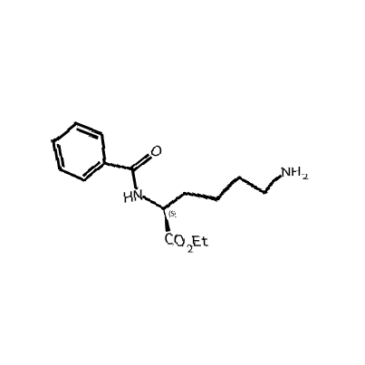 CCOC(=O)[C@H](CCCCN)NC(=O)c1ccccc1